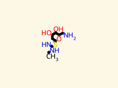 CCNC(=N)S[C@@H]1CC(O)[C@H](O)C(CN)O1